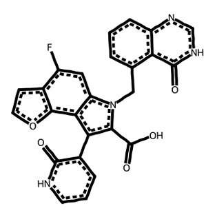 O=C(O)c1c(-c2ccc[nH]c2=O)c2c3occc3c(F)cc2n1Cc1cccc2nc[nH]c(=O)c12